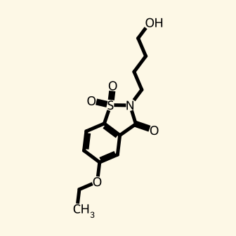 CCOc1ccc2c(c1)C(=O)N(CCCCO)S2(=O)=O